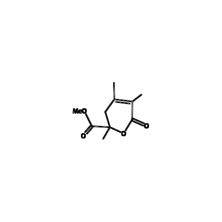 COC(=O)C1(C)CC(C)=C(C)C(=O)O1